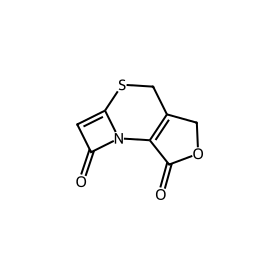 O=C1OCC2=C1N1C(=O)C=C1SC2